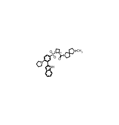 CN1CCC2(CCN(C(=O)[C@@H]3CCN3S(=O)(=O)c3ccc(N4CCCC4)c(-c4cc5ccccc5[nH]4)c3)C2)C1